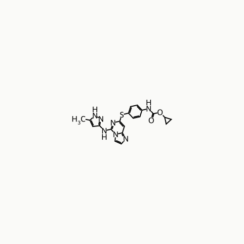 Cc1cc(Nc2nc(Sc3ccc(NC(=O)OC4CC4)cc3)cc3nccn23)n[nH]1